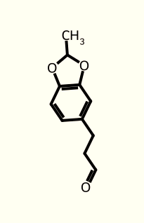 CC1Oc2ccc(CCC=O)cc2O1